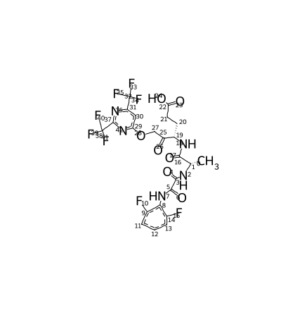 C[C@H](NC(=O)C(=O)Nc1c(F)cccc1F)C(=O)N[C@@H](CCC(=O)O)C(=O)COc1cc(C(F)(F)F)nc(C(F)(F)F)n1